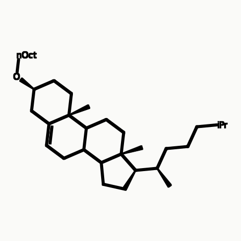 [CH2]CCCCCCCO[C@H]1CC[C@@]2(C)C(=CCC3C2CC[C@@]2(C)C3CC[C@@H]2[C@H](C)CCCC(C)C)C1